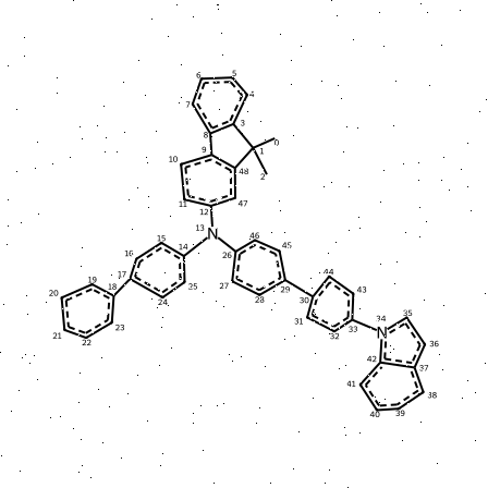 CC1(C)c2ccccc2-c2ccc(N(c3ccc(-c4ccccc4)cc3)c3ccc(-c4ccc(-n5ccc6ccccc65)cc4)cc3)cc21